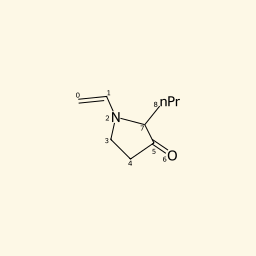 C=CN1CCC(=O)C1CCC